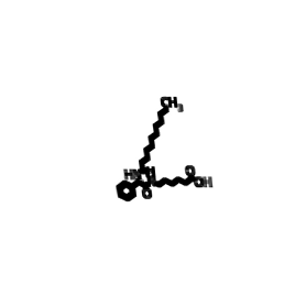 CCCCCCCCCCCC(=O)N[C@H](C(=O)NCCCCCC(=O)O)c1ccccc1